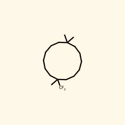 CC1(C)CCCCCCC(C)(C(F)(F)F)CCCCCC1